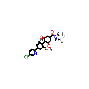 Cc1cc(-c2ccc(Cl)cn2)cc(C)c1C1C(=O)CC(C(=O)N(C)C)CC1=O